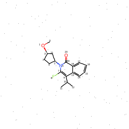 CO[C@@H]1CC[C@H](n2c(F)c(C(C)C)c3ccccc3c2=O)C1